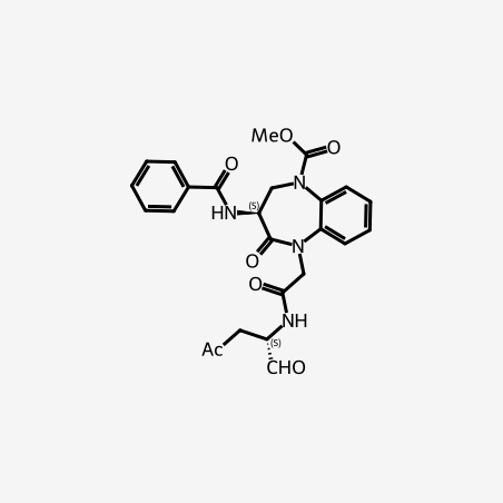 COC(=O)N1C[C@H](NC(=O)c2ccccc2)C(=O)N(CC(=O)N[C@H](C=O)CC(C)=O)c2ccccc21